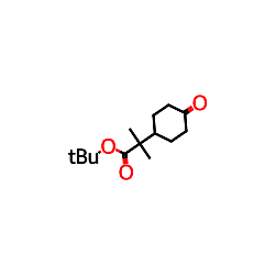 CC(C)(C)OC(=O)C(C)(C)C1CCC(=O)CC1